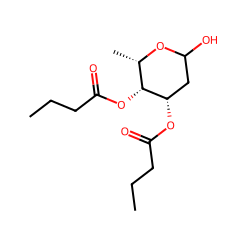 CCCC(=O)O[C@@H]1[C@H](C)OC(O)C[C@@H]1OC(=O)CCC